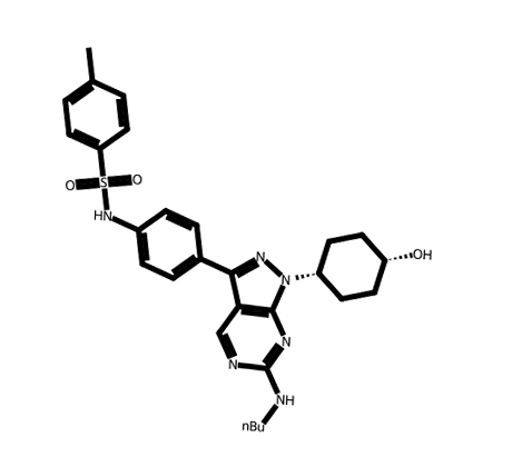 CCCCNc1ncc2c(-c3ccc(NS(=O)(=O)c4ccc(C)cc4)cc3)nn([C@H]3CC[C@@H](O)CC3)c2n1